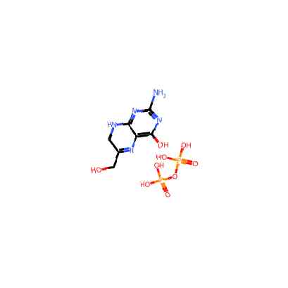 Nc1nc(O)c2c(n1)NCC(CO)=N2.O=P(O)(O)OP(=O)(O)O